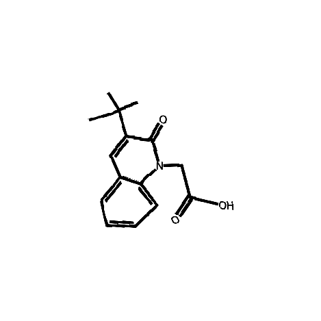 CC(C)(C)c1cc2ccccc2n(CC(=O)O)c1=O